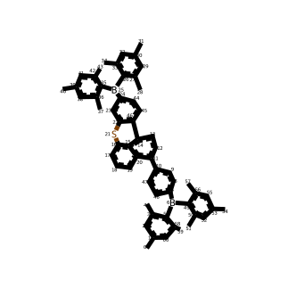 Cc1cc(C)c(B(c2ccc(-c3ccc4c5c(cccc35)Sc3cc(B(c5c(C)cc(C)cc5C)c5c(C)cc(C)cc5C)ccc3-4)cc2)c2c(C)cc(C)cc2C)c(C)c1